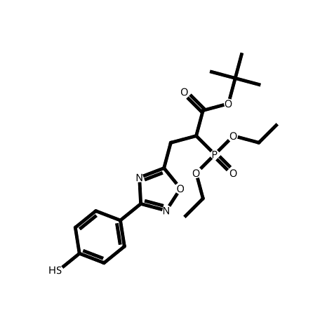 CCOP(=O)(OCC)C(Cc1nc(-c2ccc(S)cc2)no1)C(=O)OC(C)(C)C